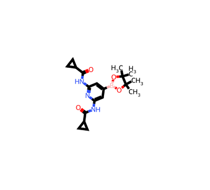 CC1(C)OB(c2cc(NC(=O)C3CC3)nc(NC(=O)C3CC3)c2)OC1(C)C